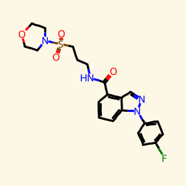 O=C(NCCCS(=O)(=O)N1CCOCC1)c1cccc2c1cnn2-c1ccc(F)cc1